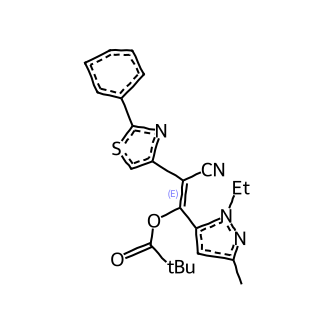 CCn1nc(C)cc1/C(OC(=O)C(C)(C)C)=C(\C#N)c1csc(-c2ccccc2)n1